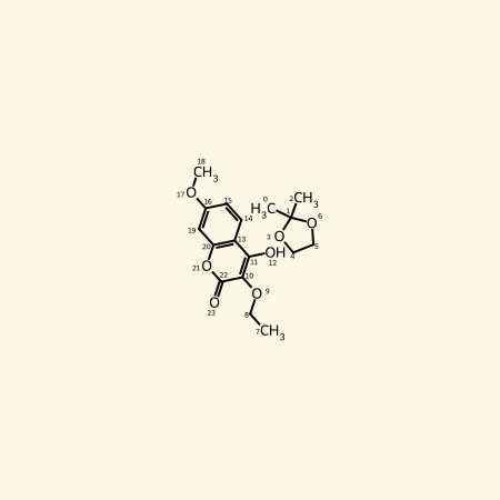 CC1(C)OCCO1.CCOc1c(O)c2ccc(OC)cc2oc1=O